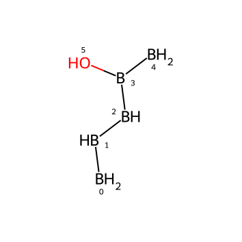 BBBB(B)O